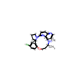 C[C@H]1CCOc2ccc(F)cc2[C@@H]2CCCN2c2ccc3ncc(C#N)c(c3n2)N1